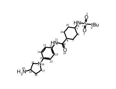 CC(C)(C)S(=O)(=O)NC1CCC(C(=O)Nc2ccc(N3CCC(N)C3)cc2)CC1